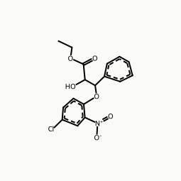 CCOC(=O)C(O)C(Oc1ccc(Cl)cc1[N+](=O)[O-])c1ccccc1